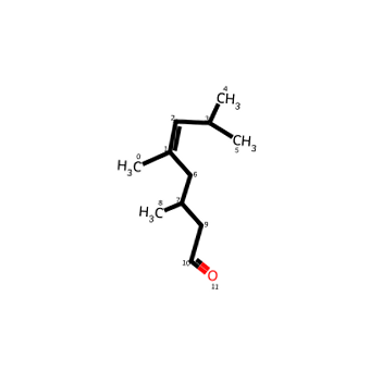 CC(=CC(C)C)CC(C)CC=O